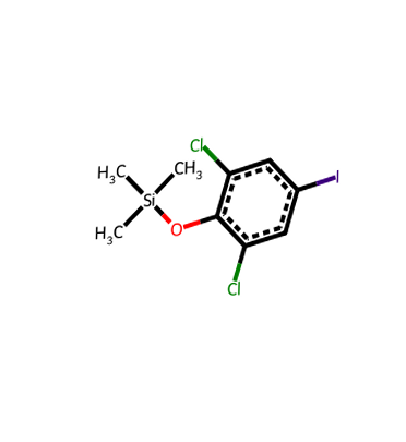 C[Si](C)(C)Oc1c(Cl)cc(I)cc1Cl